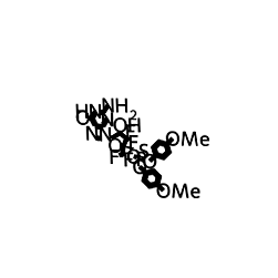 COc1ccc(OP(=S)(OC[C@@]2(C(F)F)O[C@@H](n3cnc4c(=O)[nH]c(N)nc43)[C@@H](O)C2(F)F)Oc2ccc(OC)cc2)cc1